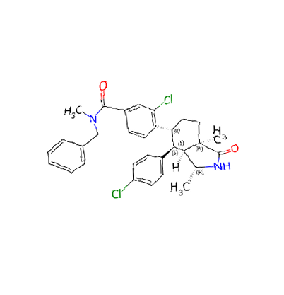 C[C@H]1NC(=O)[C@]2(C)CC[C@@H](c3ccc(C(=O)N(C)Cc4ccccc4)cc3Cl)[C@H](c3ccc(Cl)cc3)[C@H]12